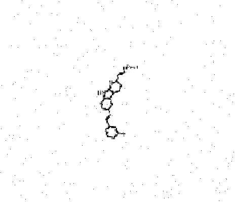 CCCCCC=Cc1ccc2c(n1)[nH]c1ccc(C=Cc3cccc(F)c3)cc12